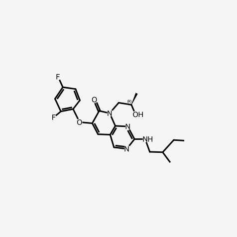 CCC(C)CNc1ncc2cc(Oc3ccc(F)cc3F)c(=O)n(C[C@@H](C)O)c2n1